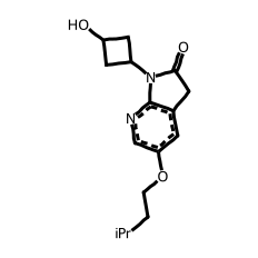 CC(C)CCOc1cnc2c(c1)CC(=O)N2C1CC(O)C1